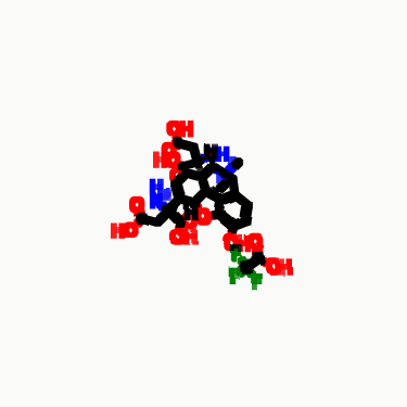 CN1CC[C@]23c4c5ccc(O)c4O[C@H]2C(C(N)(CC(=O)O)C(=O)O)=CC[C@@]3(C(N)(CC(=O)O)C(=O)O)[C@H]1C5.O=C(O)C(F)(F)F